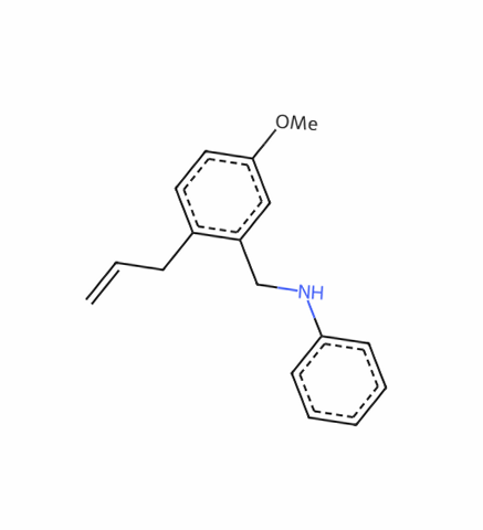 C=CCc1ccc(OC)cc1CNc1ccccc1